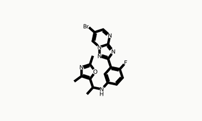 Cc1nc(C)c(C(C)Nc2ccc(F)c(-c3nc4ncc(Br)cn4n3)c2)o1